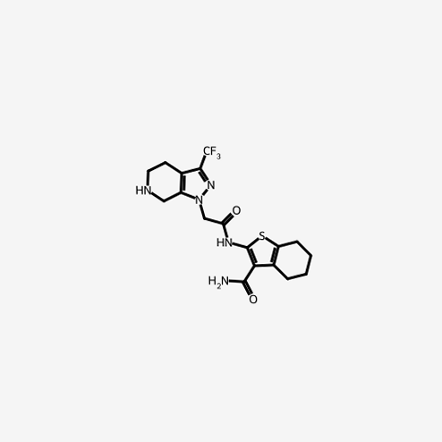 NC(=O)c1c(NC(=O)Cn2nc(C(F)(F)F)c3c2CNCC3)sc2c1CCCC2